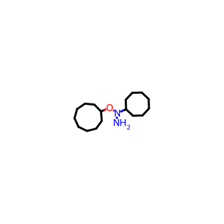 NN(OC1CCCCCCCC1)C1CCCCCCC1